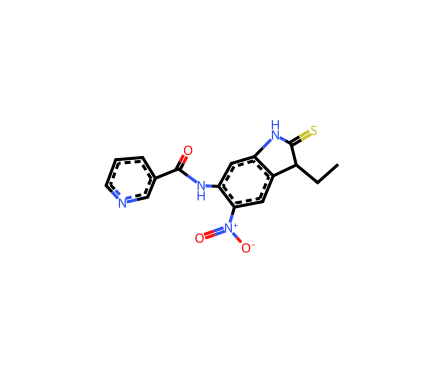 CCC1C(=S)Nc2cc(NC(=O)c3cccnc3)c([N+](=O)[O-])cc21